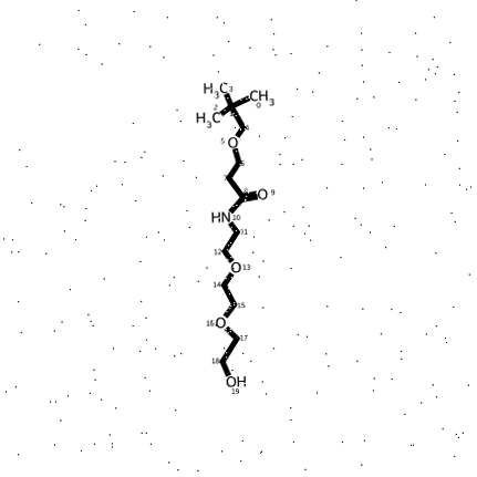 CC(C)(C)COCCC(=O)NCCOCCOCCO